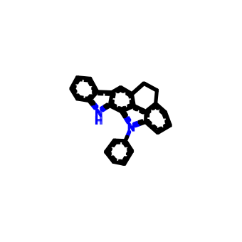 c1ccc(-n2c3cccc4c3c3c(cc5c6ccccc6[nH]c5c32)CC4)cc1